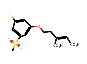 CS(=O)(=O)c1cc(F)cc(OCC/C(=C/C(=O)O)C(=O)O)c1